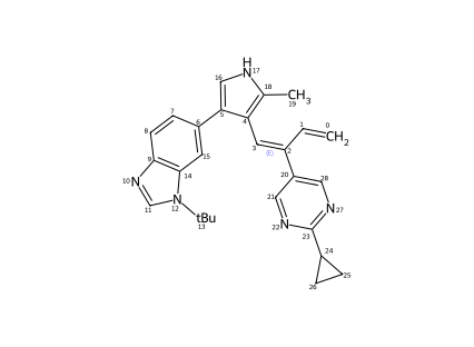 C=C/C(=C\c1c(-c2ccc3ncn(C(C)(C)C)c3c2)c[nH]c1C)c1cnc(C2CC2)nc1